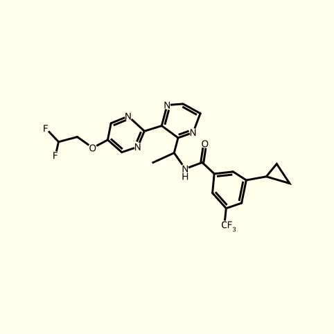 CC(NC(=O)c1cc(C2CC2)cc(C(F)(F)F)c1)c1nccnc1-c1ncc(OCC(F)F)cn1